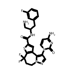 NCC(Cc1cccc(F)c1)NC(=O)c1cc2c(s1)C(F)(F)CCn1ncc(-n3ccc(N)nc3=O)c1-2